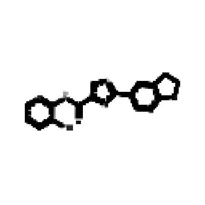 O=C(Nc1ncccc1O)c1csc(-c2ccc3c(c2)CCO3)n1